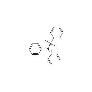 C=C[SiH](C=C)N(c1ccccc1)[Si](C)(C)c1ccccc1